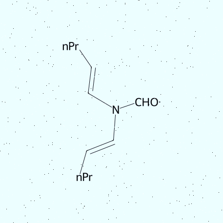 CCC/C=C/N([C]=O)/C=C/CCC